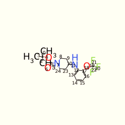 CC(C)(C)OC(=O)N1CCC(Nc2ccccc2OC(F)(F)F)CC1